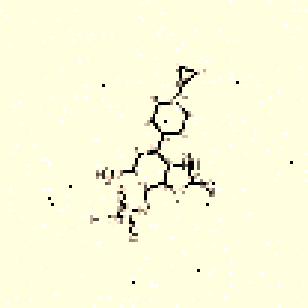 CCCC(C1CCN(C2CC2)CC1)C1NC(=O)OC1COS(C)(=O)=O